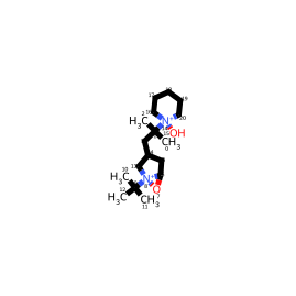 CC(C)(CC1CC2O[N+]2(C(C)(C)C)C1)[N+]1(O)CCCCC1